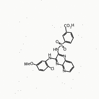 COc1ccc(Cl)c(Nc2nc3ncccc3nc2NS(=O)(=O)c2cccc(C(=O)O)c2)c1